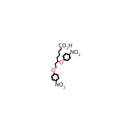 O=C(O)CCCCC(CCOc1ccc([N+](=O)[O-])cc1)Oc1ccc([N+](=O)[O-])cc1